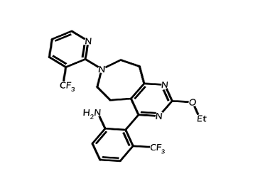 CCOc1nc2c(c(-c3c(N)cccc3C(F)(F)F)n1)CCN(c1ncccc1C(F)(F)F)CC2